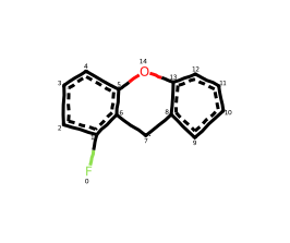 Fc1cccc2c1[CH]c1ccccc1O2